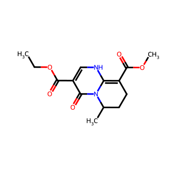 CCOC(=O)C1=CNC2=C(C(=O)OC)CCC(C)N2C1=O